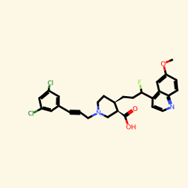 COc1ccc2nccc(C(F)CC[C@@H]3CCN(CC#Cc4cc(Cl)cc(Cl)c4)C[C@@H]3C(=O)O)c2c1